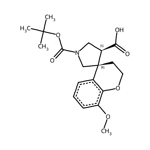 COc1cccc2c1OCC[C@]21CN(C(=O)OC(C)(C)C)C[C@H]1C(=O)O